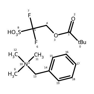 CC(C)(C)C(=O)OCC(F)(F)S(=O)(=O)O.C[N+](C)(C)Cc1ccccc1